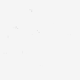 COCC(O)CN1CCNCCNCC1(CC(O)COC)CC(O)COC